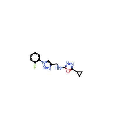 Fc1ccccc1-n1cc(CNc2nnc(C3CC3)o2)nn1